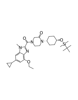 CCOc1cc(C2CC2)cc2c1nc(C(=O)N1CCN([C@H]3CC[C@H](O[Si](C)(C)C(C)(C)C)CC3)C(=O)C1)n2C